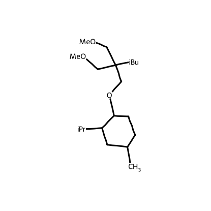 CCC(C)C(COC)(COC)COC1CCC(C)CC1C(C)C